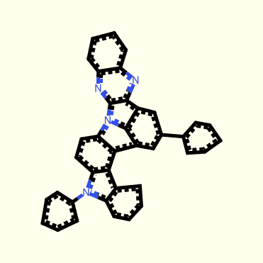 c1ccc(-c2cc3c4nc5ccccc5nc4n4c5ccc6c(c7ccccc7n6-c6ccccc6)c5c(c2)c34)cc1